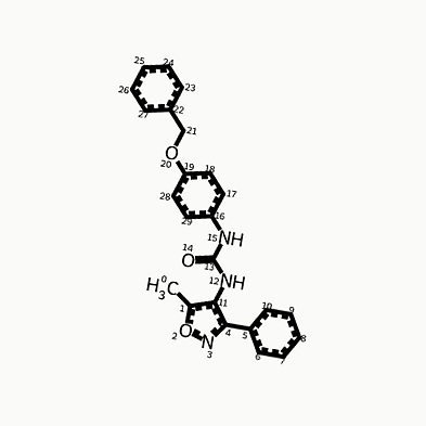 Cc1onc(-c2ccccc2)c1NC(=O)Nc1ccc(OCc2ccccc2)cc1